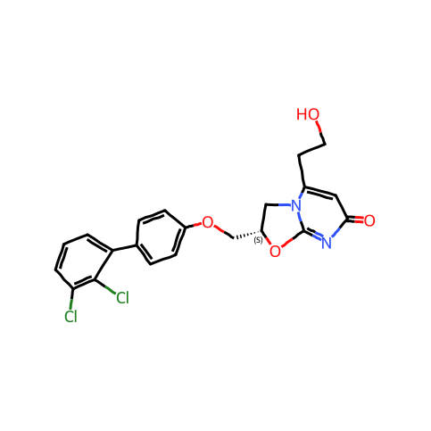 O=c1cc(CCO)n2c(n1)O[C@H](COc1ccc(-c3cccc(Cl)c3Cl)cc1)C2